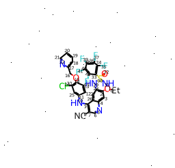 CCOc1cc2ncc(C#N)c(Nc3ccc(OCc4ccccn4)c(Cl)c3)c2cc1NS(=N)(=O)c1c(F)c(F)c(F)c(F)c1F